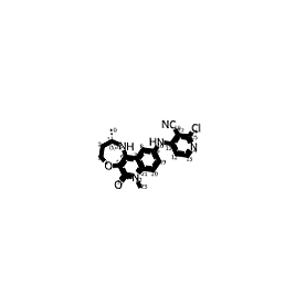 C[C@H]1CCOc2c(c3cc(Nc4ccnc(Cl)c4C#N)ccc3n(C)c2=O)N1